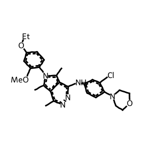 CCOc1ccc(-n2c(C)c3c(C)nnc(Nc4ccc(N5CCOCC5)c(Cl)c4)c3c2C)c(OC)c1